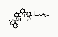 COc1nc(-c2cccc(-c3cccc(Nc4nc(C)nc5cccnc45)c3C)c2Cl)ccc1CNCCCC(=O)O